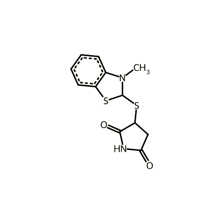 CN1c2ccccc2SC1SC1CC(=O)NC1=O